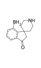 Bc1cccc2c1C1(CCNCC1)CC2=O